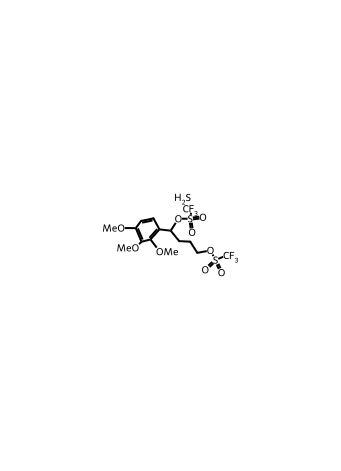 COc1ccc(C(CCCOS(=O)(=O)C(F)(F)F)OS(=O)(=O)C(F)(F)F)c(OC)c1OC.S